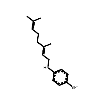 CCCc1ccc(NC/C=C(\C)CCC=C(C)C)cc1